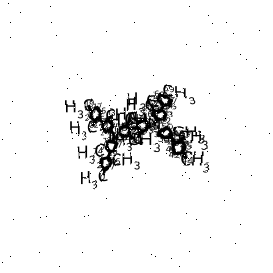 Cc1ccc(-c2ccc(N(C3=CC(C)C(c4ccc(C)cc4C)C=C3)c3cc(C)c(-c4c(C)cc(N(c5ccc(-c6ccc(C)cc6C)c(C)c5)c5ccc(-c6ccc(C)cc6C)c(C)c5)cc4C)c(C)c3)cc2C)c(C)c1